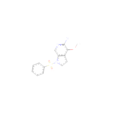 CC(C)Oc1c(N)ncc2c1ccn2S(=O)(=O)c1ccccc1